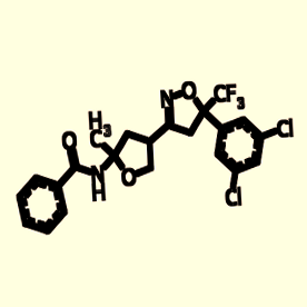 CC1(NC(=O)c2ccccc2)CC(C2=NOC(c3cc(Cl)cc(Cl)c3)(C(F)(F)F)C2)CO1